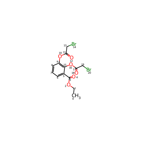 CCOC(=O)c1cccc(OC(=O)CBr)c1OC(=O)CBr